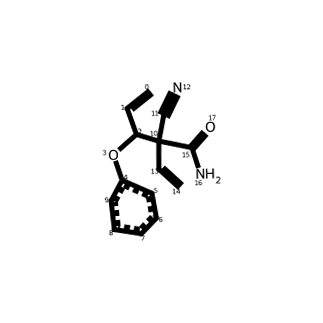 C=CC(Oc1ccccc1)C(C#N)(C=C)C(N)=O